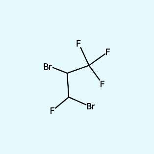 FC(Br)C(Br)C(F)(F)F